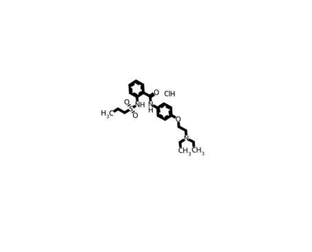 CCCS(=O)(=O)Nc1ccccc1C(=O)Nc1ccc(OCCN(CC)CC)cc1.Cl